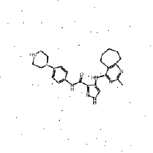 Cc1nc2c(c(Nc3c[nH]nc3C(=O)Nc3ccc(N4CCNCC4)cc3)n1)CCCCC2